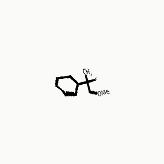 COCC(C)(F)C1C=CCCC1